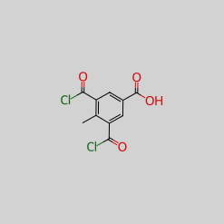 Cc1c(C(=O)Cl)cc(C(=O)O)cc1C(=O)Cl